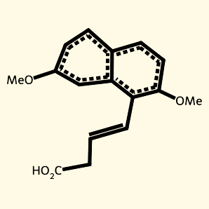 COc1ccc2ccc(OC)c(C=CCC(=O)O)c2c1